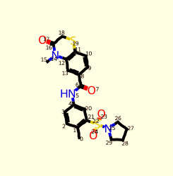 Cc1ccc(NC(=O)c2ccc3c(c2)N(C)C(=O)CS3)cc1S(=O)(=O)N1CCCC1